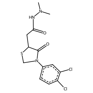 CN(C)NC(=O)CC1SCN(c2ccc(Cl)c(Cl)c2)C1=O